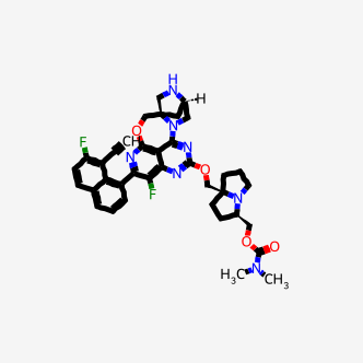 C#Cc1c(F)ccc2cccc(-c3nc4c5c(nc(OC[C@@]67CCCN6[C@@H](COC(=O)N(C)C)CC7)nc5c3F)N3C[C@H]5C[C@@]3(CN5)CO4)c12